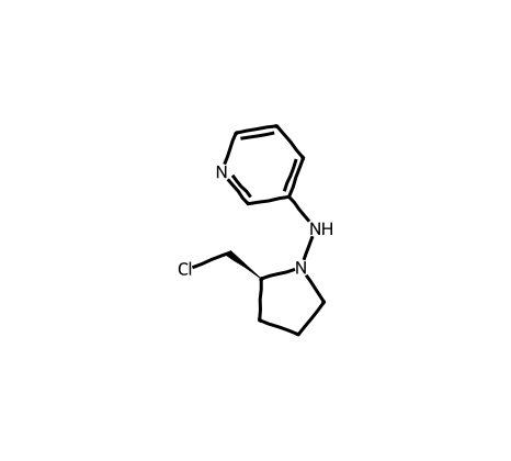 ClC[C@@H]1CCCN1Nc1cccnc1